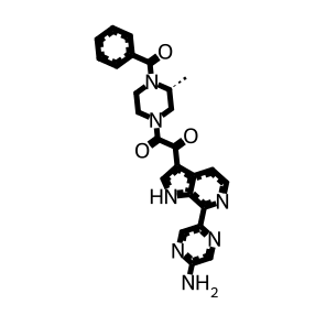 C[C@@H]1CN(C(=O)C(=O)c2c[nH]c3c(-c4cnc(N)cn4)nccc23)CCN1C(=O)c1ccccc1